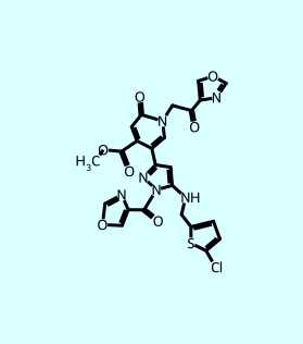 COC(=O)c1cc(=O)n(CC(=O)c2cocn2)cc1-c1cc(NCc2ccc(Cl)s2)n(C(=O)c2cocn2)n1